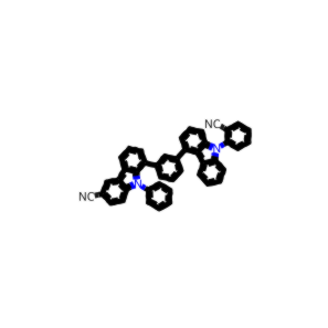 N#Cc1ccc2c(c1)c1cccc(-c3cccc(-c4cccc5c4c4ccccc4n5-c4ccccc4C#N)c3)c1n2-c1ccccc1